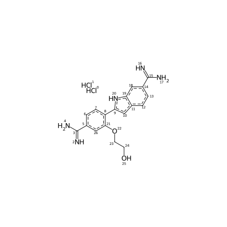 Cl.Cl.N=C(N)c1ccc(-c2cc3ccc(C(=N)N)cc3[nH]2)c(OCCO)c1